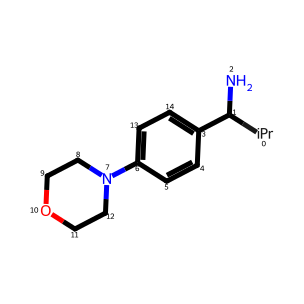 CC(C)C(N)c1ccc(N2CCOCC2)cc1